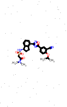 CC(C)Oc1ccc(-c2nc(-c3cccc4c3CC[C@H]4NS(=O)(=O)CC(=O)N(C)C)no2)cc1C#N